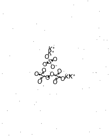 O=S(=O)([O-])OOS(=O)(=O)[O-].O=S(=O)([O-])[O-].[K+].[K+].[K+].[K+]